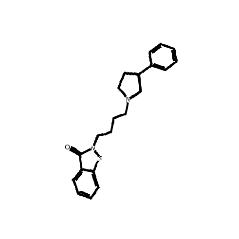 O=c1c2ccccc2sn1CCCCN1CCC(c2ccccc2)C1